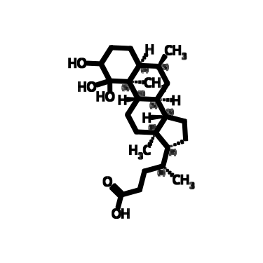 C[C@H](CCC(=O)O)[C@H]1CC[C@H]2[C@@H]3C[C@H](C)[C@@H]4CCC(O)C(O)(O)[C@]4(C)[C@H]3CC[C@]12C